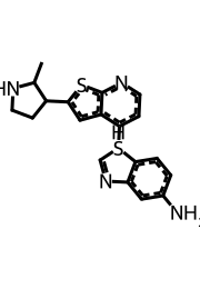 CC1NCCC1c1cc2c([SH]3C=Nc4cc(N)ccc43)ccnc2s1